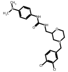 CN(C)c1ccc(NC(=O)NCC2CN(Cc3ccc(Cl)c(Cl)c3)CCO2)cc1